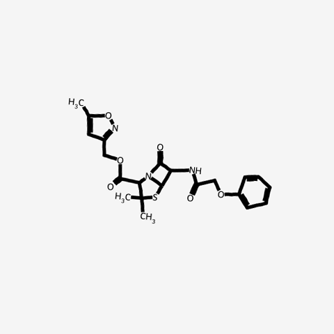 Cc1cc(COC(=O)C2N3C(=O)C(NC(=O)COc4ccccc4)C3SC2(C)C)no1